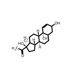 CC(=O)[C@@]1(O)CC[C@H]2[C@@H]3CCC4CC(O)C=C[C@]4(C)[C@H]3CC[C@@]21C